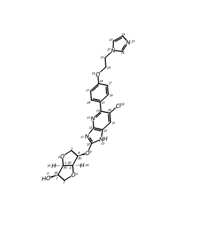 O[C@@H]1CO[C@H]2[C@@H]1OC[C@H]2Oc1nc2nc(-c3ccc(OCCn4ccnc4)cc3)c(Cl)cc2[nH]1